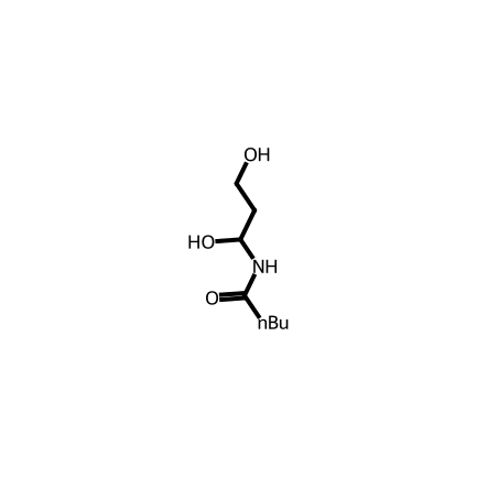 CCCCC(=O)NC(O)CCO